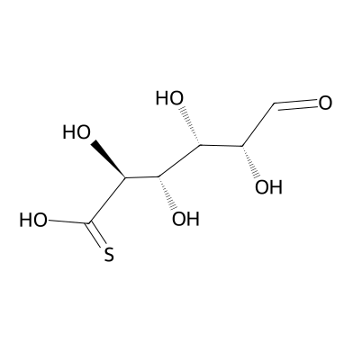 O=C[C@H](O)[C@@H](O)[C@H](O)[C@H](O)C(O)=S